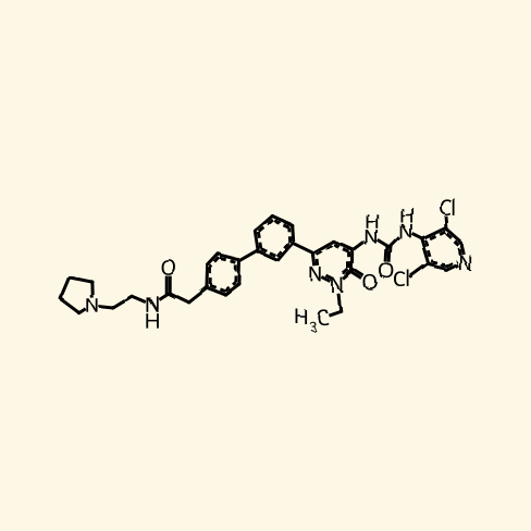 CCn1nc(-c2cccc(-c3ccc(CC(=O)NCCN4CCCC4)cc3)c2)cc(NC(=O)Nc2c(Cl)cncc2Cl)c1=O